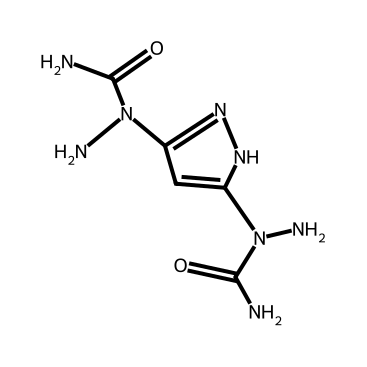 NC(=O)N(N)c1cc(N(N)C(N)=O)[nH]n1